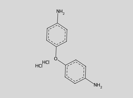 Cl.Cl.Nc1ccc(Oc2ccc(N)cc2)cc1